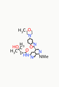 CNc1ncc(-c2nc3cc(N4CCO[C@@H](C)C4)ccc3o2)c2cc(NC(=O)[C@H]3C[C@H]3C(C)(C)O)ncc12